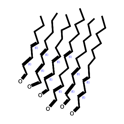 CCC/C=C/C=C/C=O.CCCC/C=C/C=C/C=O.CCCCC/C=C/C=C/C=O.CCCCC/C=C/CC/C=C/C=O.CCCCCC/C=C/C=C/C=O.CCCCCCC/C=C/C=C/C=O